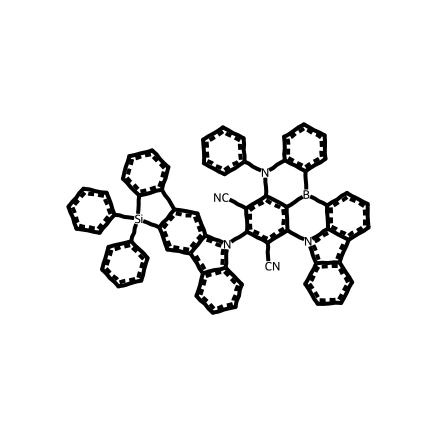 N#Cc1c2c3c(c(C#N)c1-n1c4ccccc4c4cc5c(cc41)-c1ccccc1[Si]5(c1ccccc1)c1ccccc1)-n1c4ccccc4c4cccc(c41)B3c1ccccc1N2c1ccccc1